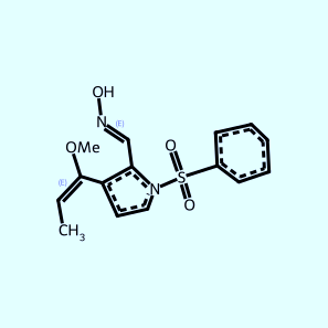 C/C=C(/OC)c1ccn(S(=O)(=O)c2ccccc2)c1/C=N/O